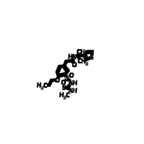 CCCOc1ccc(CC(=O)NC(C)(C)c2ccsc2)cc1S(=O)(=O)NC(=S)NC